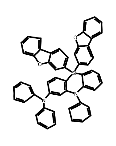 c1ccc(N(c2ccccc2)c2ccc3c(c2)N(c2ccccc2)c2ccccc2[Si]3(c2ccc3c(c2)oc2ccccc23)c2ccc3c(c2)oc2ccccc23)cc1